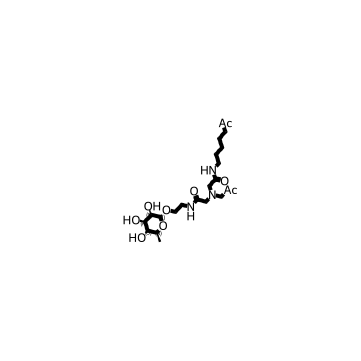 CC(=O)CCCCCNC(=O)CN(CC(C)=O)CC(=O)NCCO[C@@H]1O[C@@H](C)[C@@H](O)[C@@H](O)[C@@H]1O